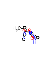 CCCc1cccc(CC(CC(=O)N2CCC(N3Cc4ccccc4NC3=O)CC2)C(=O)N2CCC(N3CCCCC3)CC2)c1